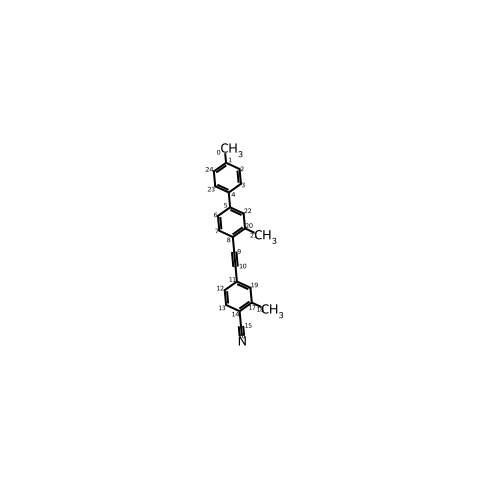 Cc1ccc(-c2ccc(C#Cc3ccc(C#N)c(C)c3)c(C)c2)cc1